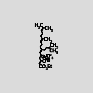 CCOC(=O)/C=C(/CC/C=C(\CC=C(C)C)CC/C=C(\C)CCC=C(C)C)OS(=O)(=O)C(F)(F)F